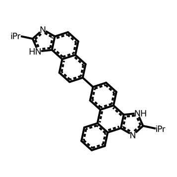 CC(C)c1nc2ccc3cc(-c4ccc5c(c4)c4ccccc4c4nc(C(C)C)[nH]c54)ccc3c2[nH]1